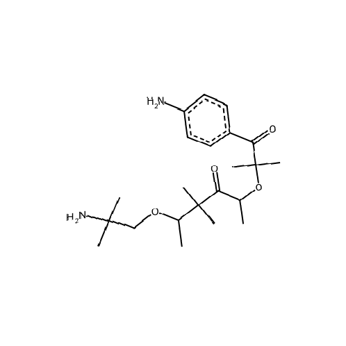 CC(OC(C)(C)C(=O)c1ccc(N)cc1)C(=O)C(C)(C)C(C)OCC(C)(C)N